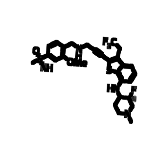 COc1cc(S(C)(=N)=O)ccc1CNCC#Cc1sc2c(NC3CCN(C)C[C@@H]3F)cccc2c1CC(F)(F)F